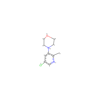 Cc1ncc(Cl)cc1N1CCOCC1